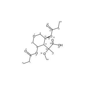 CCC(=O)OC1COC[C@@H](OC(=O)CC)C1C(C)(OC)C(=O)O